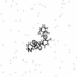 Cc1ccc(C(=O)NS(=O)(=O)c2cccnc2)cc1OCc1c(C)cccc1C